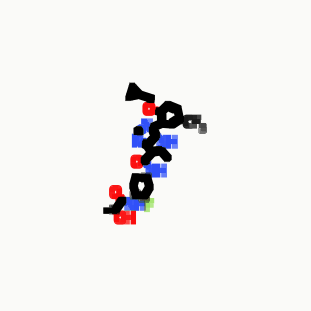 Cc1[nH]c2c(-c3cc(C(F)(F)F)ccc3OCC3CC3)ncnc2c1C(=O)N[C@@H]1CC[C@@H](NC(=O)[C@H](C)O)[C@H](F)C1